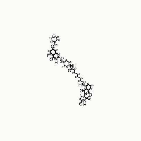 O=C1CCC(N2C(=O)c3cccc(NCCCCCCCC(=O)N[C@H]4CC[C@H](SCc5nc6cc(OCC7CCOCC7)cc(F)c6c(=O)[nH]5)CC4)c3C2=O)C(=O)N1